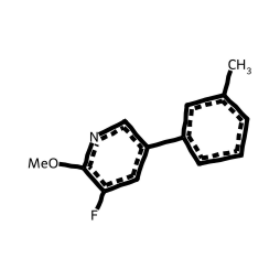 COc1ncc(-c2cccc(C)c2)cc1F